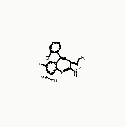 CC1=C2N=C(c3ccccc3Cl)c3cc(F)ccc3N=C2NN1.CNC